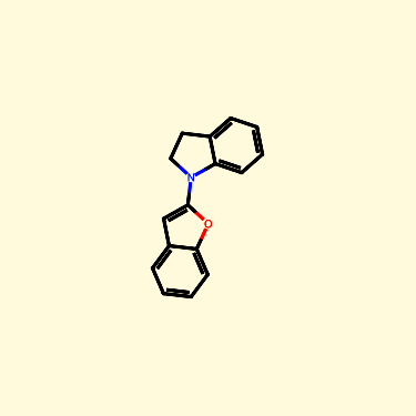 c1ccc2c(c1)CCN2c1cc2ccccc2o1